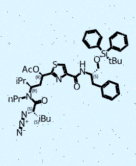 CCCN(C(=O)[C@@H](N=[N+]=[N-])[C@@H](C)CC)[C@H](C[C@@H](OC(C)=O)c1nc(C(=O)N[C@H](CO[Si](c2ccccc2)(c2ccccc2)C(C)(C)C)Cc2ccccc2)cs1)C(C)C